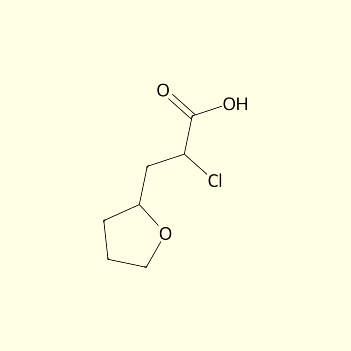 O=C(O)C(Cl)CC1CCCO1